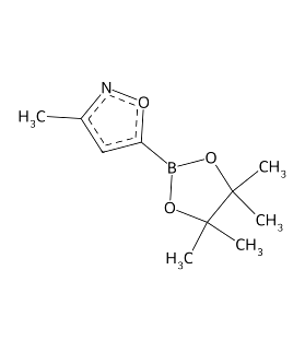 Cc1cc(B2OC(C)(C)C(C)(C)O2)on1